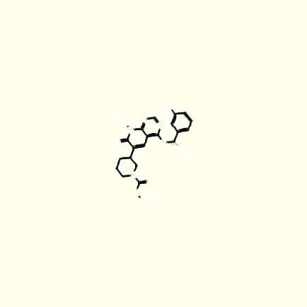 C[C@@H](Nc1ncnc2c1cc(C1CCCN(C(=O)OC(C)(C)C)C1)c(=O)n2C)c1cccc(C(F)(F)F)c1